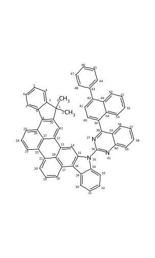 CC1(C)c2ccccc2-c2c1cc1c3cc4c(c5cccc(c6cccc2c61)c35)c1ccccc1n4-c1nc(-c2ccc(-c3ccccc3)c3ccccc23)c2ccccc2n1